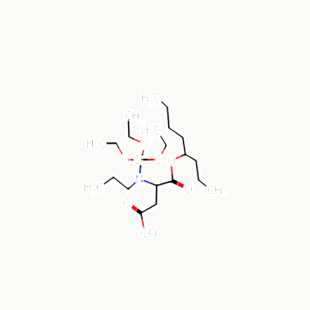 CCCCC(CCC)OC(=O)C(CC(=O)O)N(CCC)[Si](OCC)(OCC)OCC